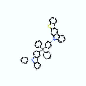 C1=CCCC([Si](c2ccccc2)(c2ccc(-n3c4ccccc4c4cc5c(cc43)sc3ccccc35)cc2)c2ccc3c(c2)c2ccccc2n3-c2ccccc2)=C1